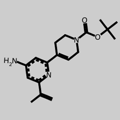 C=C(C)c1cc(N)cc(C2=CCN(C(=O)OC(C)(C)C)CC2)n1